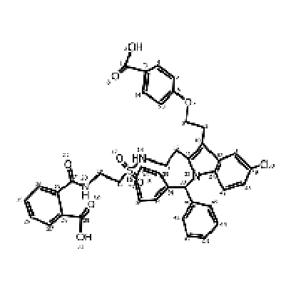 O=C(O)c1ccc(OCCc2c(CCNS(=O)(=O)CCNC(=O)c3ccccc3C(=O)O)n(C(c3ccccc3)c3ccccc3)c3ccc(Cl)cc23)cc1